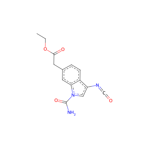 CCOC(=O)Cc1ccc2c(N=C=O)cn(C(N)=O)c2c1